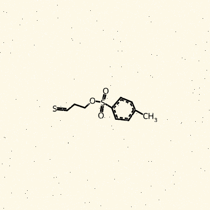 Cc1ccc(S(=O)(=O)OCCC=S)cc1